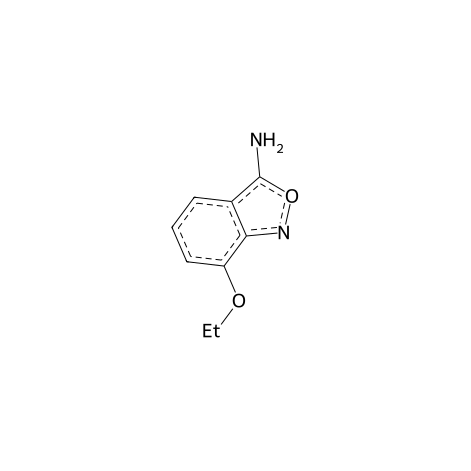 CCOc1cccc2c(N)onc12